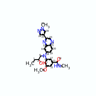 CCC(O)CN(c1cc(OC)cc(C(=O)NC)c1)c1ccc2ncc(-c3cnn(C)c3)nc2c1